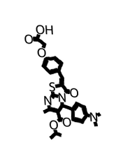 CC1=C(C(=O)OC(C)C)C(c2ccc(N(C)C)cc2)n2c(s/c(=C\c3ccc(OCC(=O)O)cc3)c2=O)=N1